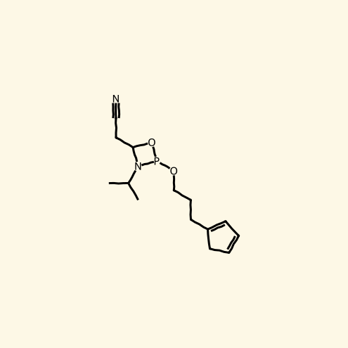 CC(C)N1C(CC#N)OP1OCCCC1=CC=CC1